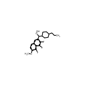 CCCC1CCC(C(OO)c2cc3ccc(OC)c(F)c3c(F)c2F)CC1